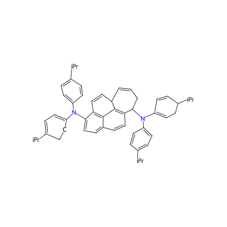 CC(C)C1=CC=C(N(c2ccc(C(C)C)cc2)c2ccc3ccc4c5c3c2C=CC5C=CCC4N(C2=CCC(C(C)C)C=C2)c2ccc(C(C)C)cc2)CC1